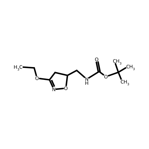 CCOC1=NOC(CNC(=O)OC(C)(C)C)C1